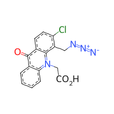 [N-]=[N+]=NCc1c(Cl)ccc2c(=O)c3ccccc3n(CC(=O)O)c12